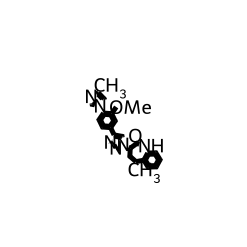 COc1cc(-c2cn(C3CC(C)c4ccccc4NC3=O)nn2)ccc1-n1cnc(C)c1